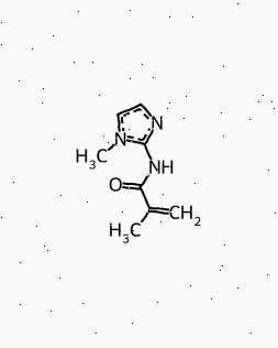 C=C(C)C(=O)Nc1nccn1C